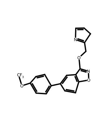 FC(F)(F)Oc1ccc(-c2ccc3onc(OCC4=NC=CC4)c3c2)cc1